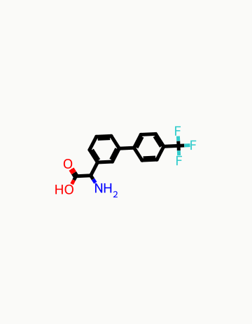 NC(C(=O)O)c1cccc(-c2ccc(C(F)(F)F)cc2)c1